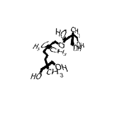 CC(C)(CCCC(C)(CO)CO)COC(O)C(C)(CO)CO